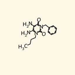 CCCCn1c(N)c(N)c(=O)n(Cc2ccccc2)c1=O